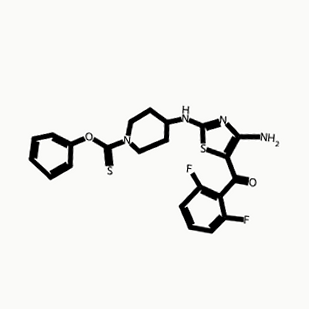 Nc1nc(NC2CCN(C(=S)Oc3ccccc3)CC2)sc1C(=O)c1c(F)cccc1F